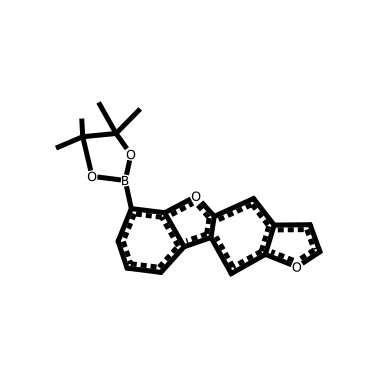 CC1(C)OB(c2cccc3c2oc2cc4ccoc4cc23)OC1(C)C